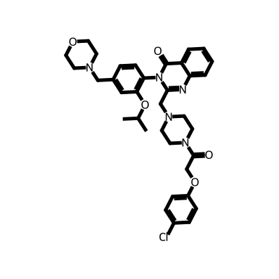 CC(C)Oc1cc(CN2CCOCC2)ccc1-n1c(CN2CCN(C(=O)COc3ccc(Cl)cc3)CC2)nc2ccccc2c1=O